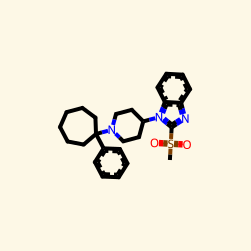 CS(=O)(=O)c1nc2ccccc2n1C1CCN(C2(c3ccccc3)CCCCCC2)CC1